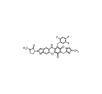 CN1CC[C@H](n2cc3cc(Nc4nc(=O)n(Cc5ncn(C)n5)c(=O)n4Cc4cc(F)c(F)cc4F)c(Cl)cc3n2)C1=O